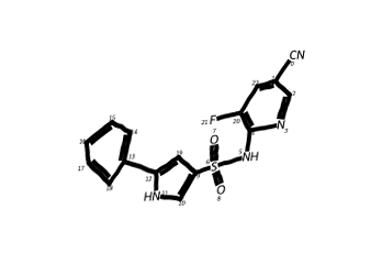 N#Cc1cnc(NS(=O)(=O)c2c[nH]c(-c3ccccc3)c2)c(F)c1